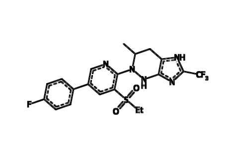 CCS(=O)(=O)c1cc(-c2ccc(F)cc2)cnc1N1Nc2nc(C(F)(F)F)[nH]c2CC1C